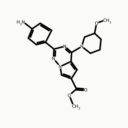 COC(=O)c1cc2c(N3CCCC(OC)C3)nc(-c3ccc(N)cc3)nn2c1